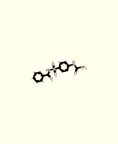 NC(=O)Nc1ccc(S(=O)(=O)NC(=O)c2ccccc2)cc1